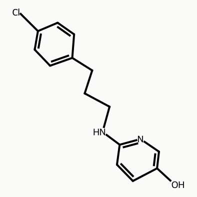 Oc1ccc(NCCCc2ccc(Cl)cc2)nc1